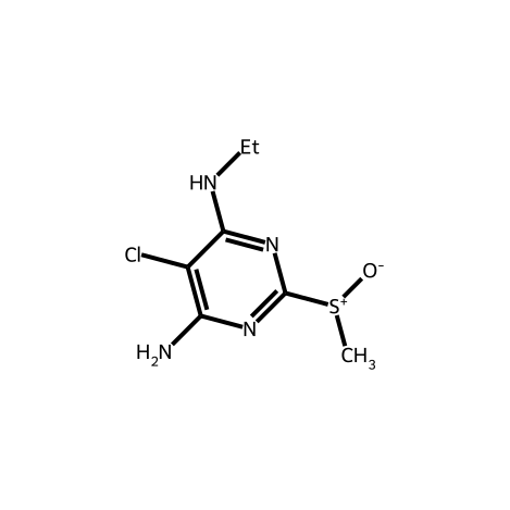 CCNc1nc([S+](C)[O-])nc(N)c1Cl